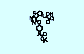 COC(=O)C(O)C[C@H]1CCc2sc3ncnc(OC4CCC(N(C)C(=O)OC(C)(C)C)CC4)c3c21